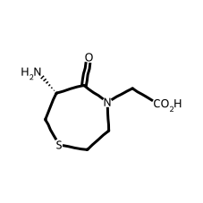 N[C@H]1CSCCN(CC(=O)O)C1=O